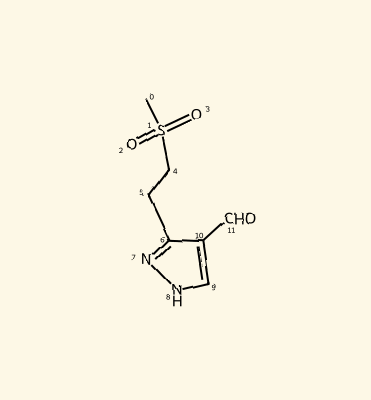 CS(=O)(=O)CCc1n[nH]cc1C=O